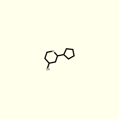 OC1CCOC(C2CCCC2)C1